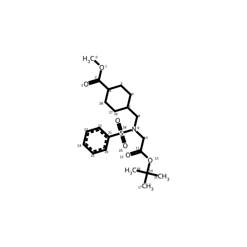 COC(=O)C1CCC(CN(CC(=O)OC(C)(C)C)S(=O)(=O)c2ccccc2)CC1